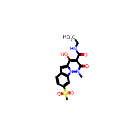 Cn1c(=O)c(C(=O)NCC(=O)O)c(O)c2cc3ccc(S(C)(=O)=O)cc3n21